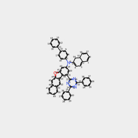 C1=CC2=CC=C(N(c3ccc(-c4ccccc4)cc3)c3cc(-c4nc(-c5ccccc5)nc(-c5ccccc5)n4)c4c(c3)oc3cc5ccccc5cc34)CC2C=C1